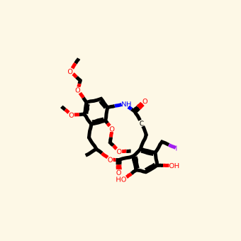 COCOc1cc2c(OCOC)c(c1OC)CC(C)OC(=O)c1c(O)cc(O)c(CI)c1CCC(=O)N2